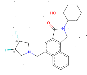 O=C1c2cc(CN3C[C@@H](F)[C@H](F)C3)c3ccccc3c2CN1C1CCCCC1O